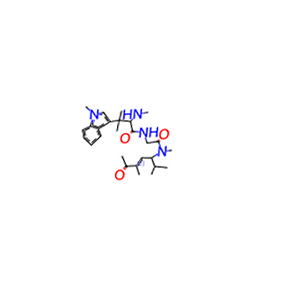 CNC(C(=O)NCC(=O)N(C)C(/C=C(\C)C(C)=O)C(C)C)C(C)(C)c1cn(C)c2ccccc12